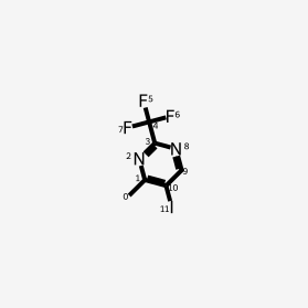 Cc1nc(C(F)(F)F)ncc1I